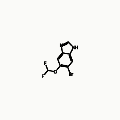 FC(F)Oc1cc2nc[nH]c2cc1Br